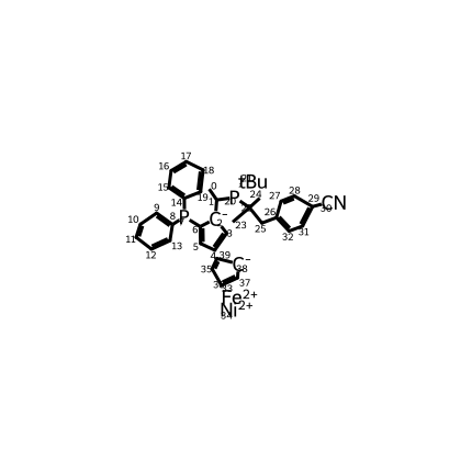 CC([c-]1cccc1P(c1ccccc1)c1ccccc1)[P@](C(C)(C)C)C(C)(C)Cc1ccc(C#N)cc1.[Fe+2].[Ni+2].c1cc[cH-]c1